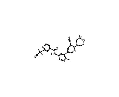 Cc1ncc(NC(=O)c2ccnc(C(C)(C)C#N)c2)cc1-c1cnc(N2CCO[C@H](C)C2)c(C#N)c1